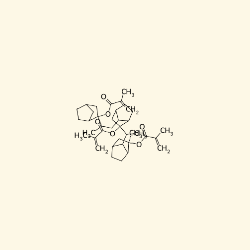 C=C(C)C(=O)OC1(C)CC2CCC1C2C(C)C1(OC(=O)C(=C)C)CC2CCC1C2CC(C)C1(OC(=O)C(=C)C)CC2CCC1C2